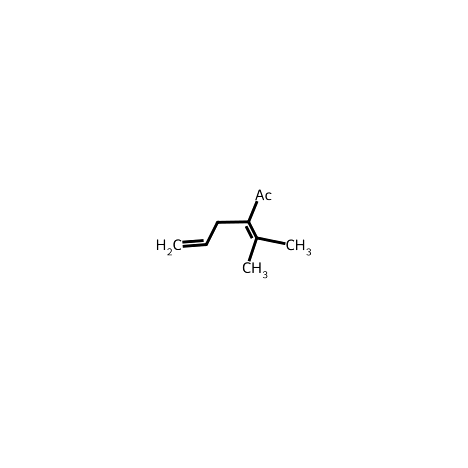 C=CCC(C(C)=O)=C(C)C